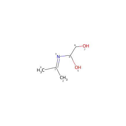 CC(C)=NC(O)CO